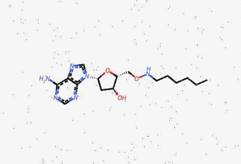 CCCCCCNOC[C@H]1O[C@@H](n2cnc3c(N)ncnc32)C[C@@H]1O